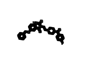 O=C(c1ccc(F)cc1)C1CCN(CCn2c(=O)[nH]c3ccc(OCc4ccccc4)cc3c2=O)CC1